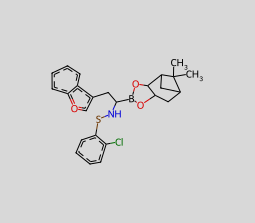 CC1(C)C2CC3OB(C(Cc4coc5ccccc45)NSc4ccccc4Cl)OC3C1C2